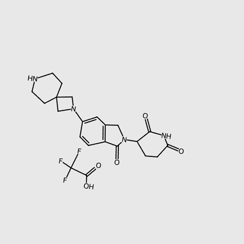 O=C(O)C(F)(F)F.O=C1CCC(N2Cc3cc(N4CC5(CCNCC5)C4)ccc3C2=O)C(=O)N1